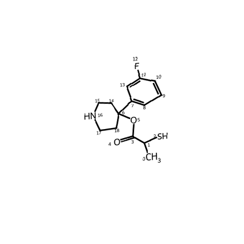 CC(S)C(=O)OC1(c2cccc(F)c2)CCNCC1